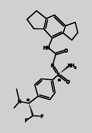 CN(C)[C@H](c1ccc([S@](N)(=O)=NC(=O)Nc2c3c(cc4c2CCC4)CCC3)cc1)C(F)F